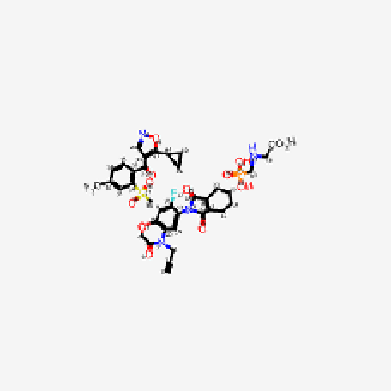 C#CCN1C(=O)COc2cc(F)c(N3C(=O)C4=C(CCCC4)C3=O)cc21.CS(=O)(=O)c1cc(C(F)(F)F)ccc1C(=O)c1cnoc1C1CC1.O=C(O)CNCP(=O)(O)O